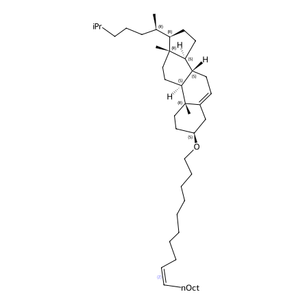 CCCCCCCC/C=C\CCCCCCCCO[C@H]1CC[C@@]2(C)C(=CC[C@H]3[C@@H]4CC[C@H]([C@H](C)CCCC(C)C)[C@@]4(C)CC[C@@H]32)C1